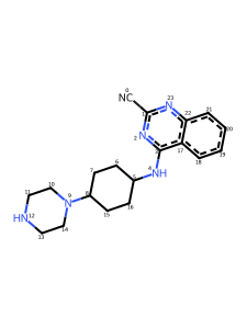 N#Cc1nc(NC2CCC(N3CCNCC3)CC2)c2ccccc2n1